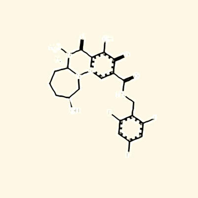 CN1C(=O)c2c(O)c(=O)c(C(=O)NCc3c(F)cc(F)cc3F)cn2N2C[C@@H](O)CCC[C@@H]12